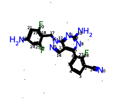 N#Cc1cccc(-c2nc(N)nc3c2cnn3Cc2c(F)cc(N)cc2F)c1F